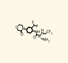 NC[C@@H](NCC(F)(F)F)C(=O)Nc1ccc(N2CCOCC2=O)cc1C(F)F